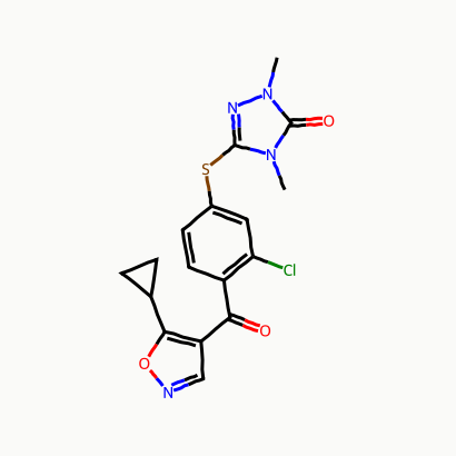 Cn1nc(Sc2ccc(C(=O)c3cnoc3C3CC3)c(Cl)c2)n(C)c1=O